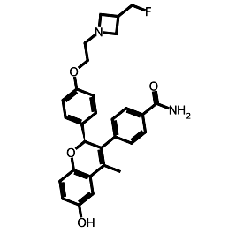 CC1=C(c2ccc(C(N)=O)cc2)[C@H](c2ccc(OCCN3CC(CF)C3)cc2)Oc2ccc(O)cc21